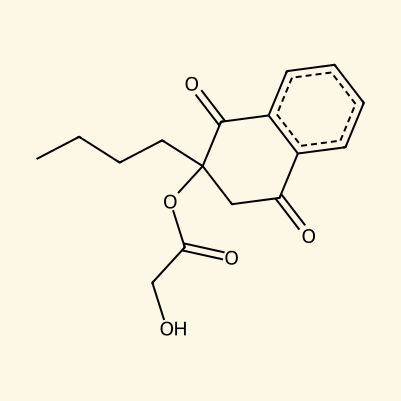 CCCCC1(OC(=O)CO)CC(=O)c2ccccc2C1=O